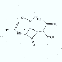 C=C(C)C(C(=O)O)N1C(=O)C(NC(=O)CCC)C1[S+]([O-])Cl